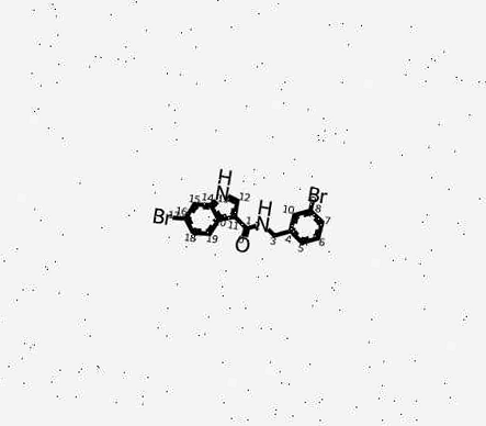 O=C(NCc1cccc(Br)c1)c1c[nH]c2cc(Br)ccc12